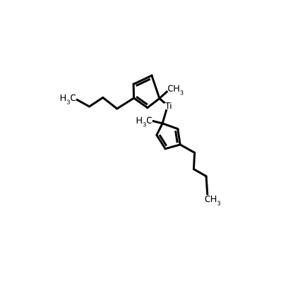 CCCCC1=C[C](C)([Ti][C]2(C)C=CC(CCCC)=C2)C=C1